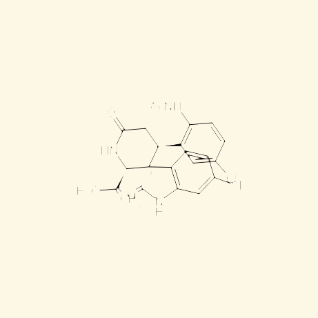 C=C(C)[C@H]1NC(=O)C[C@@H](c2cc(Cl)ccc2NC(C)=O)[C@]12C(=O)Nc1cc(Cl)ccc12